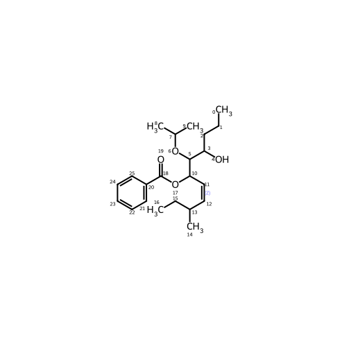 CCCC(O)C(OC(C)C)C(/C=C\C(C)CC)OC(=O)c1ccccc1